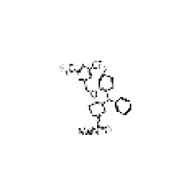 CNC(=O)N1CCC(OCc2cc(C(F)(F)F)cc(C(F)(F)F)c2)C(C(c2ccccc2)c2ccccc2)C1